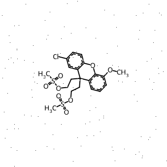 COc1cccc2c1Oc1ccc(Cl)cc1C2(CCOS(C)(=O)=O)CCOS(C)(=O)=O